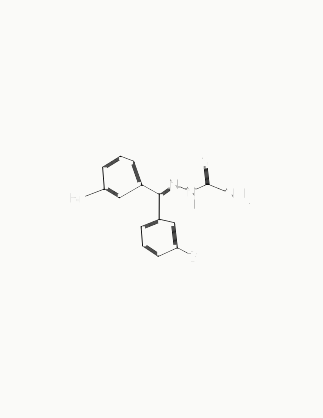 NC(=S)NN=C(c1cccc(Br)c1)c1cccc(Br)c1